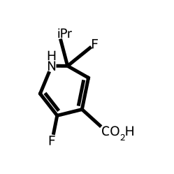 CC(C)C1(F)C=C(C(=O)O)C(F)=CN1